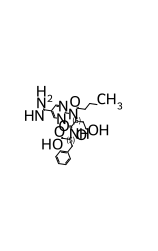 CCCCC(=O)N(c1ncc(C(=N)N)cn1)[C@@H](CC(=O)O)C(=O)N[C@@H](Cc1ccccc1)C(=O)O